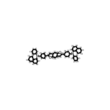 c1ccc(N(c2ccc(-c3cc4cc5oc(-c6ccc(N(c7ccccc7)c7cccc8ccccc78)cc6)cc5cc4o3)cc2)c2cccc3ccccc23)cc1